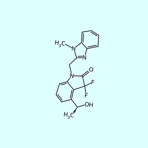 C[C@H](O)c1cccc2c1C(F)(F)C(=O)N2Cc1nc2ccccc2n1C